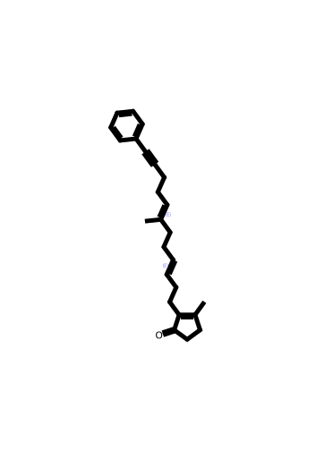 CC1=C(CC/C=C/CC/C(C)=C/CCC#Cc2ccccc2)C(=O)CC1